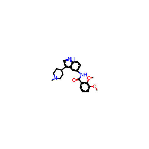 COc1cccc(C(=O)Nc2ccc3[nH]cc(C4CCN(C)CC4)c3c2)c1OC